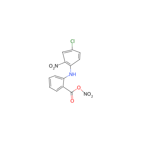 O=C(O[N+](=O)[O-])c1ccccc1Nc1ccc(Cl)cc1[N+](=O)[O-]